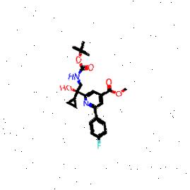 COC(=O)c1cc(-c2ccc(F)cc2)nc(C(O)(CNC(=O)OC(C)(C)C)C2CC2)c1